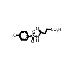 Cc1ccc(S(=O)(=O)NC(=O)CCC(=O)O)cc1